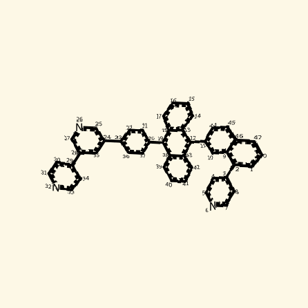 c1cc(-c2ccncc2)c2cc(-c3c4ccccc4c(-c4ccc(-c5cncc(-c6ccncc6)c5)cc4)c4ccccc34)ccc2c1